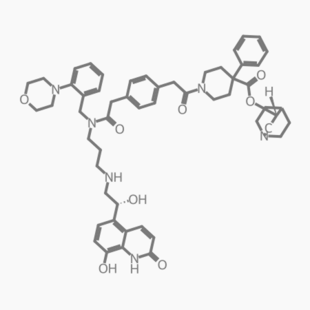 O=C(Cc1ccc(CC(=O)N(CCCNC[C@H](O)c2ccc(O)c3[nH]c(=O)ccc23)Cc2ccccc2N2CCOCC2)cc1)N1CCC(C(=O)O[C@H]2CN3CCC2CC3)(c2ccccc2)CC1